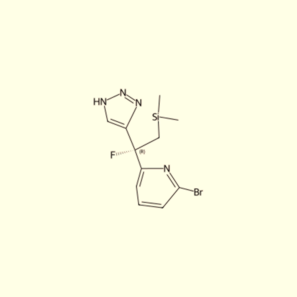 C[Si](C)(C)C[C@](F)(c1c[nH]nn1)c1cccc(Br)n1